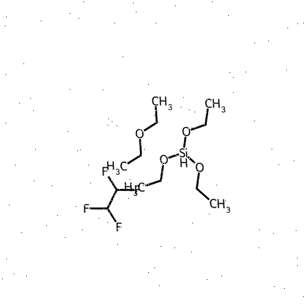 CCOCC.CCO[SiH](OCC)OCC.FC(F)C(F)F